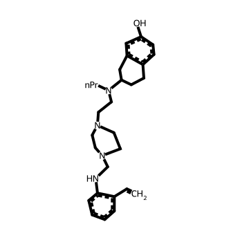 C=Cc1ccccc1NCN1CCN(CCN(CCC)C2CCc3ccc(O)cc3C2)CC1